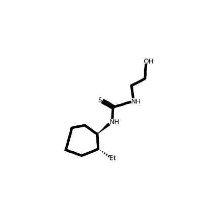 CC[C@@H]1CCCC[C@H]1NC(=S)NCCO